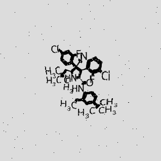 CCc1cc(C(C)(C)C)ccc1NC(=O)[C@@H]1N[C@@H](CC(C)(C)C)[C@](C#N)(c2ccc(Cl)cc2F)[C@H]1c1cccc(Cl)c1F